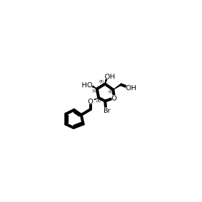 OC[C@H]1OC(Br)[C@H](OCc2ccccc2)[C@@H](O)[C@H]1O